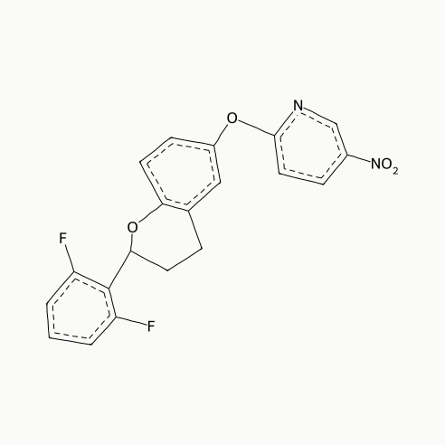 O=[N+]([O-])c1ccc(Oc2ccc3c(c2)CCC(c2c(F)cccc2F)O3)nc1